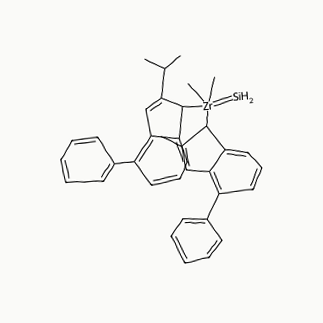 CC1=Cc2c(-c3ccccc3)cccc2[CH]1[Zr]([CH3])([CH3])(=[SiH2])[CH]1C(C(C)C)=Cc2c(-c3ccccc3)cccc21